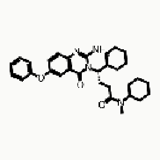 CN(C(=O)CC[C@@H](C1CCCCC1)n1c(N)nc2ccc(Oc3ccccc3)cc2c1=O)C1CCCCC1